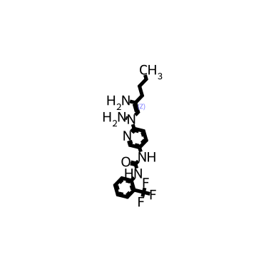 CCCC/C(N)=C/N(N)c1ccc(NC(=O)Nc2ccccc2C(F)(F)F)cn1